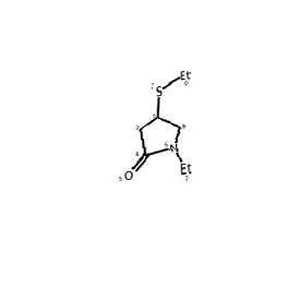 CCSC1CC(=O)N(CC)C1